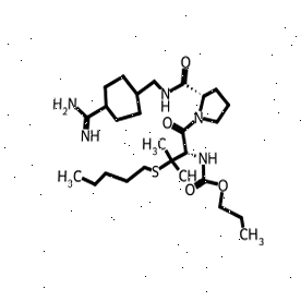 CCCCCSC(C)(C)[C@@H](NC(=O)OCCC)C(=O)N1CCC[C@H]1C(=O)NCC1CCC(C(=N)N)CC1